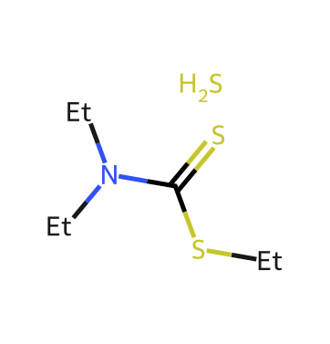 CCSC(=S)N(CC)CC.S